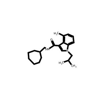 Cc1cccc2c1c(C(=O)NCC1CCCCCC1)cn2CC(C)C